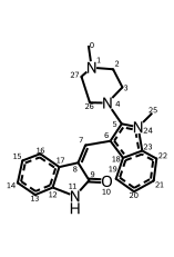 CN1CCN(c2c(C=C3C(=O)Nc4ccccc43)c3ccccc3n2C)CC1